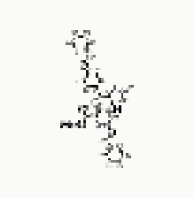 C=C1CC2=C(c3ccc(OCc4ccccc4)cc3)Oc3c(C(=O)OC)cc(OCc4ccccc4)cc3[C@H]2C1